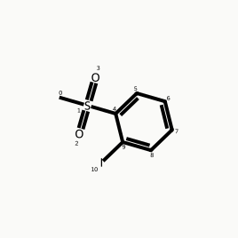 CS(=O)(=O)c1ccccc1I